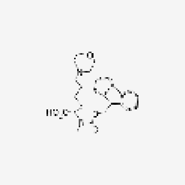 CN(C(=O)OCC1c2ccccc2-c2ccccc21)[C@@H](CCCCN1CCOCC1)C(=O)O